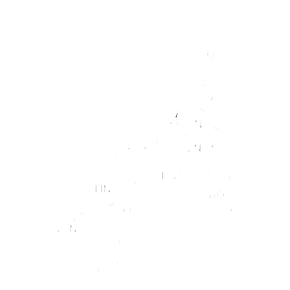 CCOC(=O)[C@H]1CC[C@H](OC(C(=O)Cc2cc(Cl)c(NC(=O)c3cn(C)c4ccccc34)cc2F)(N2CCCC2)N2CC(COC)C2)CC1